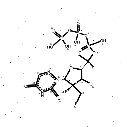 CC(C)(OP(=O)(O)OP(=O)(O)OP(=O)(O)O)[C@H]1O[C@@H](n2ncc(=O)[nH]c2=O)[C@@](F)(CF)C1O